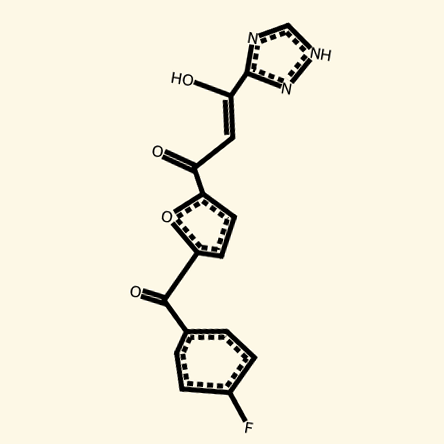 O=C(C=C(O)c1nc[nH]n1)c1ccc(C(=O)c2ccc(F)cc2)o1